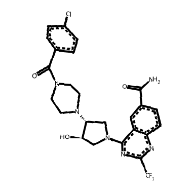 NC(=O)c1ccc2nc(C(F)(F)F)nc(N3C[C@@H](O)[C@H](N4CCN(C(=O)c5ccc(Cl)cc5)CC4)C3)c2c1